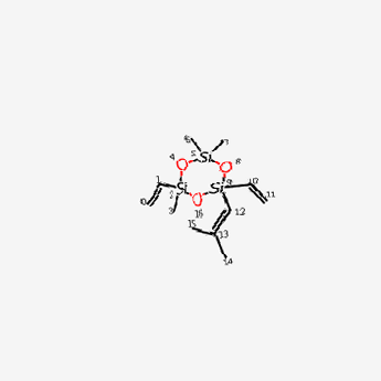 C=C[Si]1(C)O[Si](C)(C)O[Si](C=C)(C=C(C)C)O1